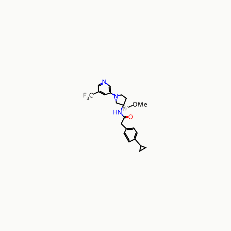 COC[C@@]1(NC(=O)Cc2ccc(C3CC3)cc2)CCN(c2cncc(C(F)(F)F)c2)C1